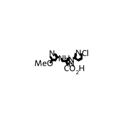 COc1cncc(NCc2cn(-c3ccc(Cl)nc3)nc2C(=O)O)c1